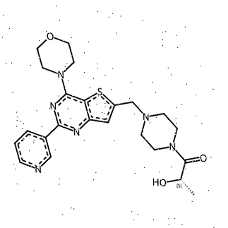 C[C@H](O)C(=O)N1CCN(Cc2cc3nc(-c4cccnc4)nc(N4CCOCC4)c3s2)CC1